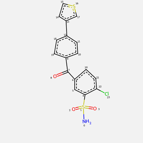 NS(=O)(=O)c1cc(C(=O)c2ccc(-c3ccsc3)cc2)ccc1Cl